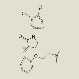 CN(C)CCOc1ccccc1/C=C1\CCN(c2ccc(Cl)c(Cl)c2)C1=O